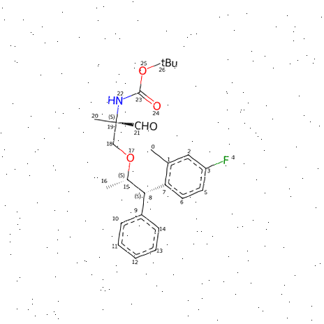 Cc1cc(F)ccc1[C@H](c1ccccc1)[C@H](C)OC[C@@](C)(C=O)NC(=O)OC(C)(C)C